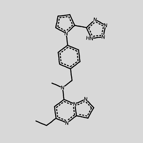 CCc1cc(N(C)Cc2ccc(-n3cccc3-c3nnn[nH]3)cc2)n2nccc2n1